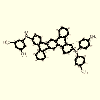 CCN(c1cc(C)cc(C)c1)c1ccc2c(c1)c1ccccc1c1cc3c4ccc(N(c5ccc(C)cc5)c5ccc(C)cc5)cc4c4ccccc4c3cc21